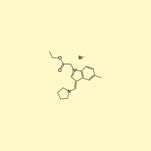 CCOC(=O)C[N+]1=C/C(=C\N2CCCC2)c2cc(C)ccc21.[Br-]